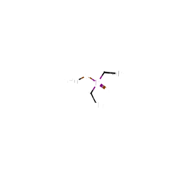 CCCCSP(=S)(CC(C)C)CC(C)C